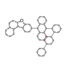 c1ccc(-c2ccc(-c3ccccc3-c3c4ccccc4c(-c4ccc5c(c4)oc4ccc6ccccc6c45)c4ccccc34)cc2)cc1